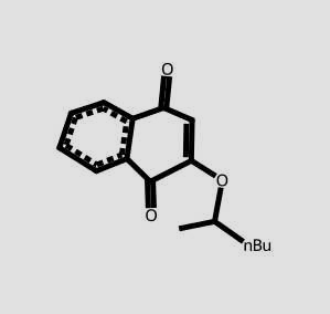 CCCCC(C)OC1=CC(=O)c2ccccc2C1=O